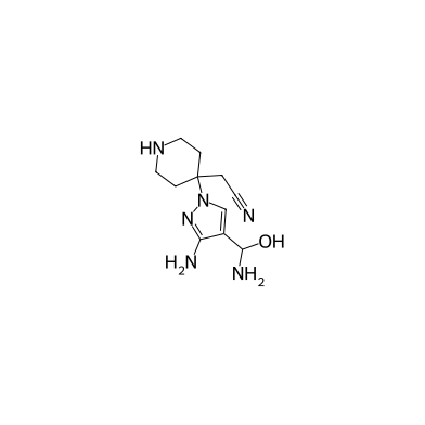 N#CCC1(n2cc(C(N)O)c(N)n2)CCNCC1